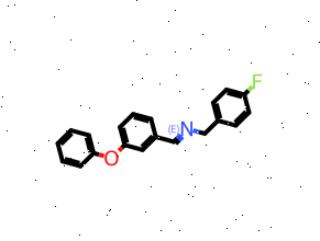 Fc1ccc(C/N=C/c2cccc(Oc3ccccc3)c2)cc1